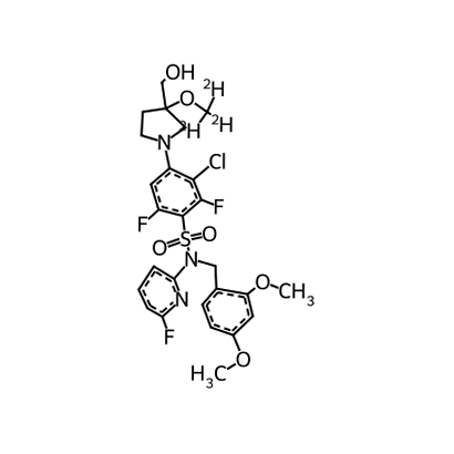 [2H]C([2H])([2H])OC1(CO)CCN(c2cc(F)c(S(=O)(=O)N(Cc3ccc(OC)cc3OC)c3cccc(F)n3)c(F)c2Cl)C1